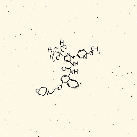 COc1ccc(-n2nc(C(C)(C)C)cc2NC(=O)Nc2ccc(OCCN3CCOCC3)c3ccccc23)cn1